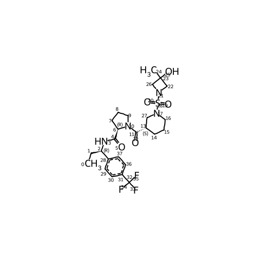 CC[C@@H](NC(=O)[C@H]1CCCN1C(=O)[C@H]1CCCN(S(=O)(=O)N2CC(C)(O)C2)C1)c1ccc(C(F)(F)F)cc1